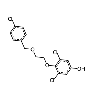 Oc1cc(Cl)c(OCCOCc2ccc(Cl)cc2)c(Cl)c1